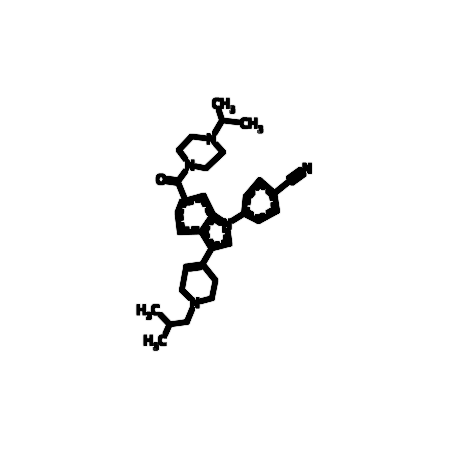 CC(C)CN1CC=C(c2cn(-c3ccc(C#N)cc3)c3cc(C(=O)N4CCN(C(C)C)CC4)ccc23)CC1